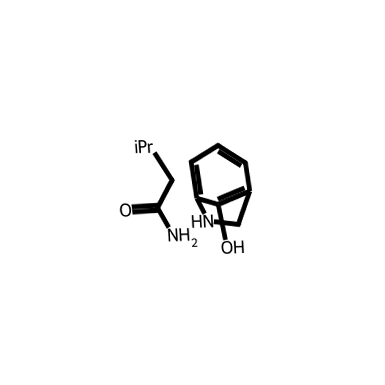 CC(C)CC(N)=O.Oc1c2cccc1NC2